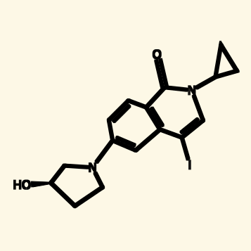 O=c1c2ccc(N3CC[C@@H](O)C3)cc2c(I)cn1C1CC1